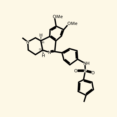 COc1cc2c(cc1OC)[C@@H]1CN(C)CC[C@@H]1N=C2c1ccc(NS(=O)(=O)c2ccc(C)cc2)cc1